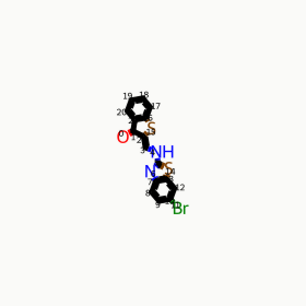 O=C1/C(=C/Nc2nc3ccc(Br)cc3s2)Sc2ccccc21